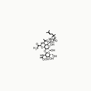 BC(=O)[C@@H](C)O[C@@H]1[C@@H](NC(C)=O)[C@@H](OP(=O)(O)OP(=O)(O)OC(C)(C)CC=C(C)C)O[C@H](CO)[C@H]1O[C@H]1O[C@H](CO)[C@@H](O)[C@H](O)[C@H]1NC(C)=O